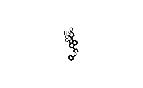 O=C1CCC(N2C(=O)c3ccc(C4CCN(Cc5ccccc5)C4)c4cccc2c34)C(=O)N1